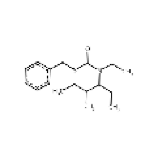 CCC(C)C(CC)N(CC)C(=O)SCc1ccccc1